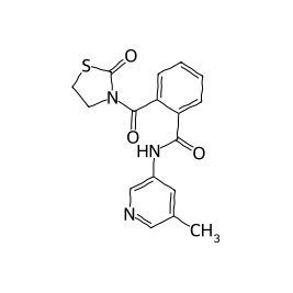 Cc1cncc(NC(=O)c2ccccc2C(=O)N2CCSC2=O)c1